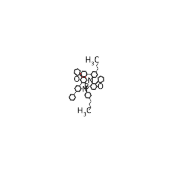 CCCCc1ccc(N2B3c4ccc5oc6ccccc6c5c4N(c4ccc(CCCC)cc4-c4ccccc4)c4cc5c(oc6ccccc65)c(c43)-c3ccc(-c4ccccc4)cc32)cc1